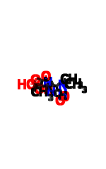 CC[C@]1(O)c2cc3n(c(=O)c2COC1O)Cc1c-3nc2cc3c(cc2c1CNC(C)C)OCO3